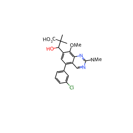 CNc1ncc2c(-c3cccc(Cl)c3)cc(C(O)C(C)(C)C(=O)O)c(OC)c2n1